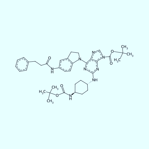 CC(C)(C)OC(=O)N[C@H]1CC[C@H](Nc2nc(N3CCc4cc(NC(=O)CCc5ccccc5)ccc43)c3ncn(C(=O)OC(C)(C)C)c3n2)CC1